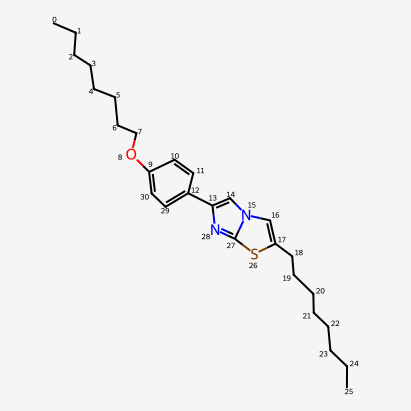 CCCCCCCCOc1ccc(-c2cn3cc(CCCCCCCC)sc3n2)cc1